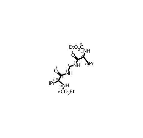 CCOC(=O)NC(C(=O)NCNC(=O)C(NC(=O)OCC)C(C)C)C(C)C